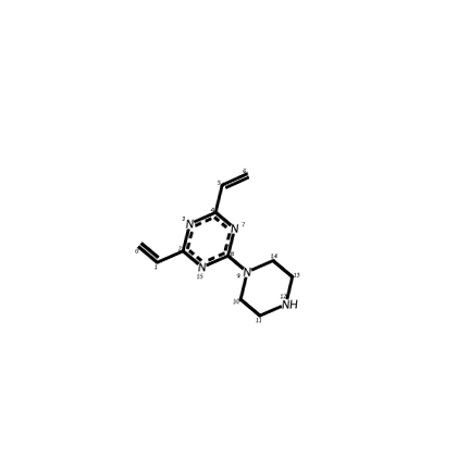 C=Cc1nc(C=C)nc(N2CCNCC2)n1